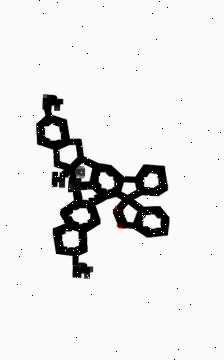 CC(C)c1ccc2c(c1)CC1c3cc4c(c5c6cc7cc(C(C)C)ccc7cc6n(c35)[C@@H]1C2)C1(c2ccccc2-c2ccccc21)c1ccccc1-4